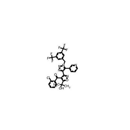 CC(C)(O)c1onc(-c2nnn(Cc3cc(C(F)(F)F)cc(C(F)(F)F)c3)c2-c2cccnc2)c1C(=O)c1ccccc1Cl